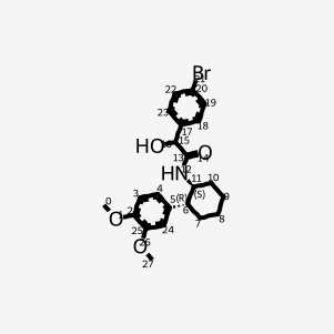 COc1ccc([C@H]2CCCC[C@@H]2NC(=O)C(O)c2ccc(Br)cc2)cc1OC